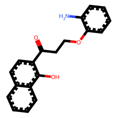 Nc1ccccc1OCCC(=O)c1ccc2ccccc2c1O